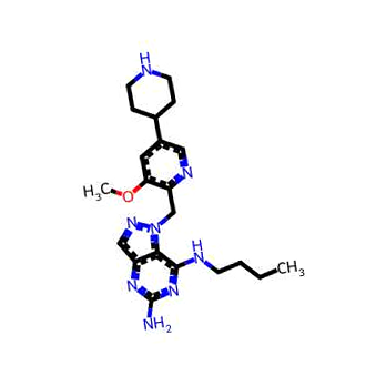 CCCCNc1nc(N)nc2cnn(Cc3ncc(C4CCNCC4)cc3OC)c12